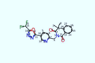 CC1(C)C(=O)N(Cc2ccc(-c3nnc(C(F)F)o3)cn2)C(=O)c2ccccc21